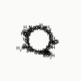 CCCC[C@H]1C(=O)N(C)[C@@H](CCCC)C(=O)N[C@@H](CC(C)C)C(=O)N[C@H](C(=O)NCC(N)=O)CSCC(=O)N[C@@H](Cc2ccc(O)cc2)C(=O)N(C)[C@@H](C)C(=O)N[C@@H](CC(N)=O)C(=O)N2CCCC2C(=O)N[C@@H](CN)C(=O)NCC(=O)N2CCCC2C(=O)N[C@@H](Cc2c[nH]c3ccccc23)C(=O)NCC(=O)N[C@@H](Cc2cn(CC(=O)O)c3ccccc23)C(=O)N1C